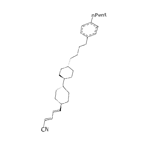 CCCCCc1ccc(CCCC[C@H]2CC[C@H]([C@H]3CC[C@H](C=CC=CC#N)CC3)CC2)cc1